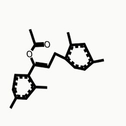 CC(=O)OC(=CCc1ccc(C)cc1C)c1ccc(C)cc1C